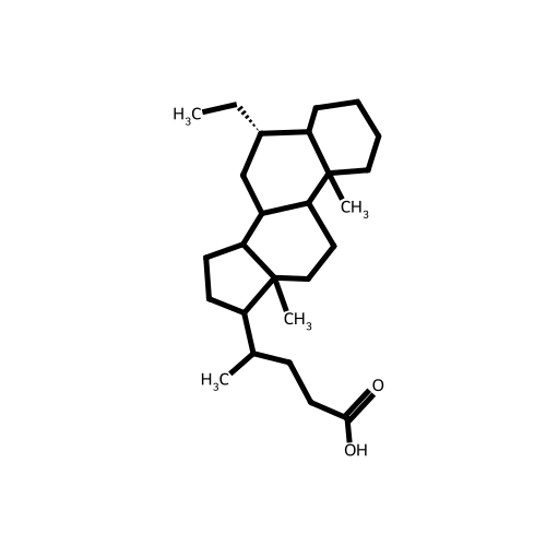 CC[C@H]1CC2C3CCC(C(C)CCC(=O)O)C3(C)CCC2C2(C)CCCCC12